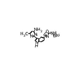 Cc1cc(N)nc(-c2c[nH]c3ccc(N4COC(NC(C)(C)C)=N4)cc23)n1